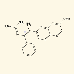 COc1cnc2ccc(/C(N)=C(/N=C(N)N)c3ccccc3)cc2c1